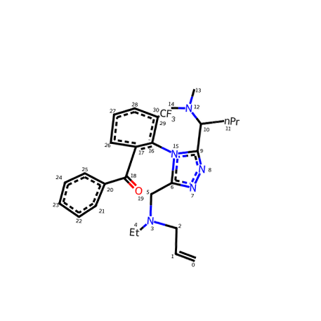 C=CCN(CC)Cc1nnc(C(CCC)N(C)C)n1-c1c(C(=O)c2ccccc2)cccc1C(F)(F)F